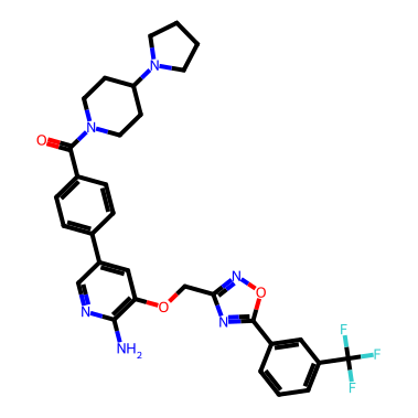 Nc1ncc(-c2ccc(C(=O)N3CCC(N4CCCC4)CC3)cc2)cc1OCc1noc(-c2cccc(C(F)(F)F)c2)n1